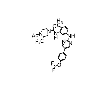 CC(=O)N1CCN(C(=O)Nc2cc(Nc3ncc(-c4ccc(OC(F)F)cc4)cn3)ccc2C)CC1C(F)(F)F